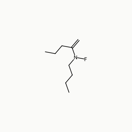 C=C(CCC)N(F)CCCC